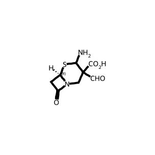 NC1S[C@@H]2CC(=O)N2CC1(C=O)C(=O)O